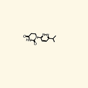 CC(C)c1ccc(N2CCC(=O)NC2=O)nn1